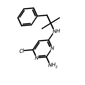 CC(C)(Cc1ccccc1)Nc1cc(Cl)nc(N)n1